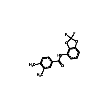 Cc1ccc(C(=O)Nc2cccc3c2OC(F)(F)O3)cc1C